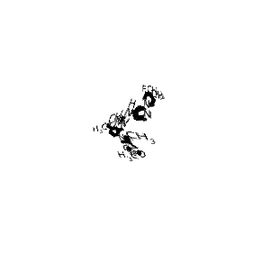 CC(C)c1ccc(N2C[C@H](CS(C)(=O)=O)[C@H]2C)c2cnc(Nc3ccnc(N4CC[C@@](C)(O)[C@@H](F)C4)c3)nc12